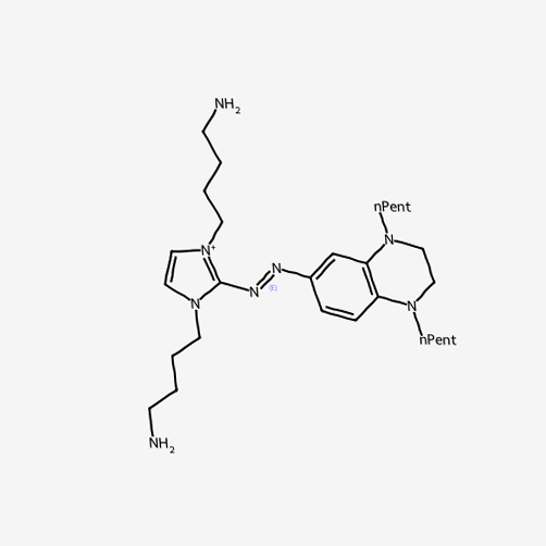 CCCCCN1CCN(CCCCC)c2cc(/N=N/c3n(CCCCN)cc[n+]3CCCCN)ccc21